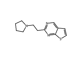 c1cc2cnc(CCN3CCCC3)nc2s1